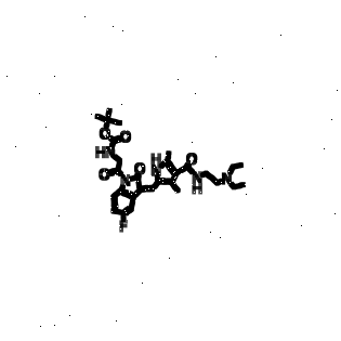 CCN(CC)CCNC(=O)c1c(C)[nH]c(C=C2C(=O)N(C(=O)CNC(=O)OC(C)(C)C)c3ccc(F)cc32)c1C